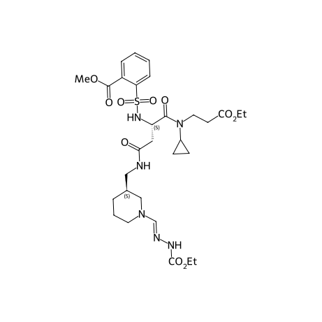 CCOC(=O)CCN(C(=O)[C@H](CC(=O)NC[C@@H]1CCCN(C=NNC(=O)OCC)C1)NS(=O)(=O)c1ccccc1C(=O)OC)C1CC1